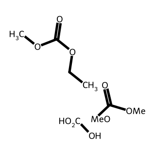 CCOC(=O)OC.COC(=O)OC.O=C(O)O